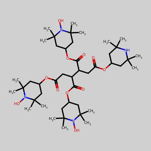 CC1(C)CC(OC(=O)CC(C(=O)OC2CC(C)(C)N(O)C(C)(C)C2)C(CC(=O)OC2CC(C)(C)N(O)C(C)(C)C2)C(=O)OC2CC(C)(C)N(O)C(C)(C)C2)CC(C)(C)N1